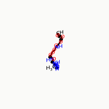 C#COc1ccc(C(=O)c2ccc(OCCCCC(=O)NCCOCCOCCOc3cccc(CNC(=O)c4cccc(NCc5nnc(-c6ccncn6)n5C)c4)c3)cc2)cc1